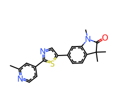 Cc1cc(-c2ncc(-c3ccc4c(c3)N(C)C(=O)C4(C)C)s2)ccn1